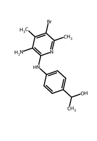 Cc1nc(Nc2ccc(C(C)O)cc2)c(N)c(C)c1Br